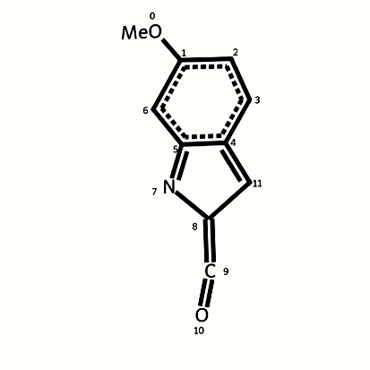 COc1ccc2c(c1)=NC(=C=O)C=2